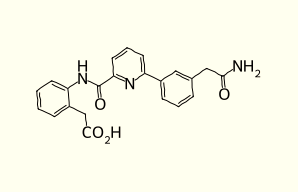 NC(=O)Cc1cccc(-c2cccc(C(=O)Nc3ccccc3CC(=O)O)n2)c1